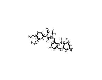 CC1(C)C(=O)N(c2ccc(C#N)c(C(F)(F)F)c2)C(=O)N1Cc1cccc(Cl)c1Nc1ccc(F)cc1F